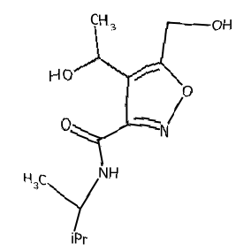 CC(O)c1c(C(=O)NC(C)C(C)C)noc1CO